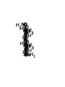 NC1=CCCC(C(=O)Nc2ccc(-c3ccc(NC(=O)c4ccc(C(=O)Nc5ccc(-c6ccc(NC(=O)c7cccc(N)c7)cc6C(F)(F)F)c(C(F)(F)F)c5)cc4)cc3C(F)(F)F)c(C(F)(F)F)c2)=C1